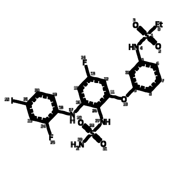 CCS(=O)(=O)Nc1cccc(Oc2cc(F)cc(Nc3ccc(I)cc3F)c2NS(N)(=O)=O)c1